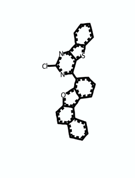 Clc1nc(-c2cccc3c2oc2ccc4ccccc4c23)c2sc3ccccc3c2n1